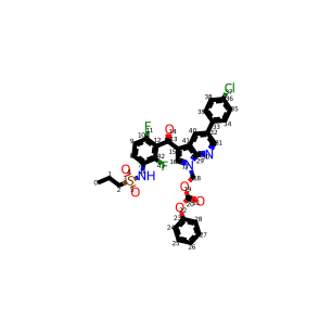 CCCS(=O)(=O)Nc1ccc(F)c(C(=O)c2cn(COC(=O)Oc3ccccc3)c3ncc(-c4ccc(Cl)cc4)cc23)c1F